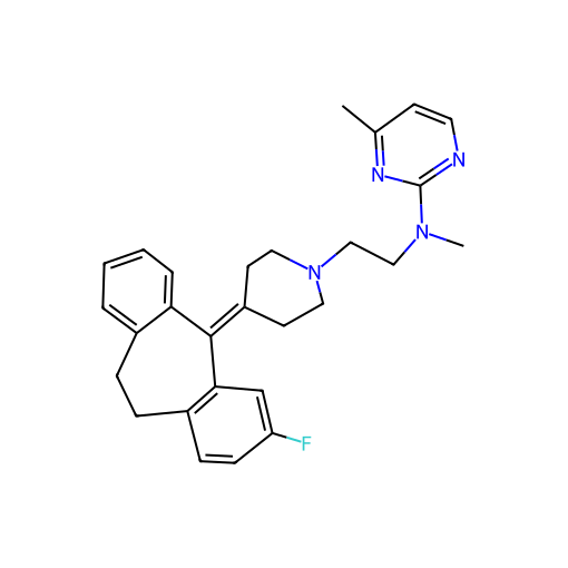 Cc1ccnc(N(C)CCN2CCC(=C3c4ccccc4CCc4ccc(F)cc43)CC2)n1